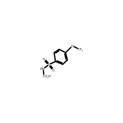 O=C(O)NS(=O)(=O)c1ccc(OC(F)(F)F)cc1